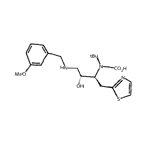 COc1cccc(CNC[C@@H](O)[C@H](Cc2nccs2)N(C(=O)O)C(C)(C)C)c1